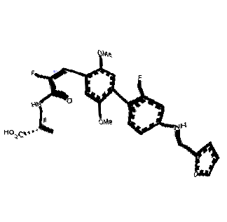 COc1cc(-c2ccc(NCc3ccco3)cc2F)c(OC)cc1/C=C(/F)C(=O)N[C@H](C)C(=O)O